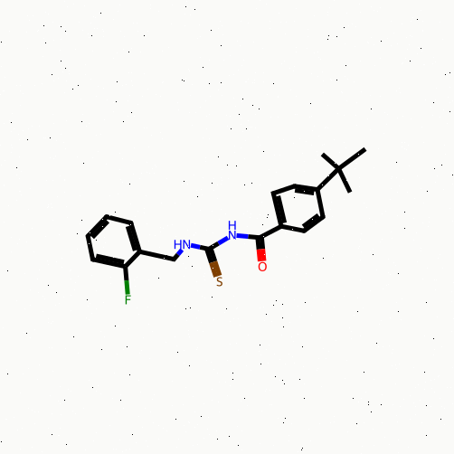 CC(C)(C)c1ccc(C(=O)NC(=S)NCc2ccccc2F)cc1